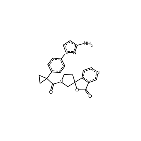 Nc1ccn(-c2ccc(C3(C(=O)N4CCC5(C4)OC(=O)c4cnccc45)CC3)cc2)n1